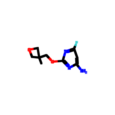 CC1(COc2nc(N)cc(F)n2)COC1